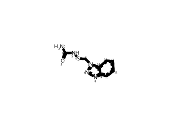 NC(=O)NSCn1nnc2ccccc21